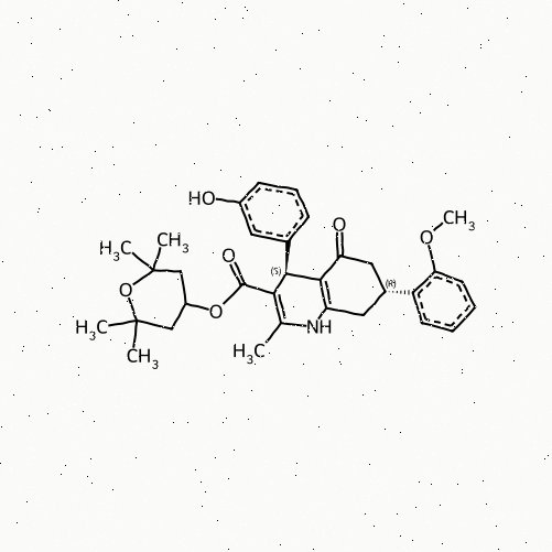 COc1ccccc1[C@H]1CC(=O)C2=C(C1)NC(C)=C(C(=O)OC1CC(C)(C)OC(C)(C)C1)[C@H]2c1cccc(O)c1